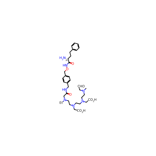 CCN(CCN(CCN(CCN(C)CC=O)CC(=O)O)CC(=O)O)CC(=O)NCc1ccc(CONC(=O)[C@H](N)CCc2ccccc2)cc1